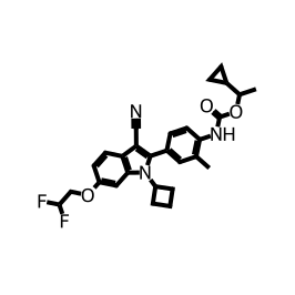 Cc1cc(-c2c(C#N)c3ccc(OCC(F)F)cc3n2C2CCC2)ccc1NC(=O)OC(C)C1CC1